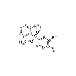 Nc1cccc(N)c1S(=O)(=O)c1ccc(F)c(F)c1